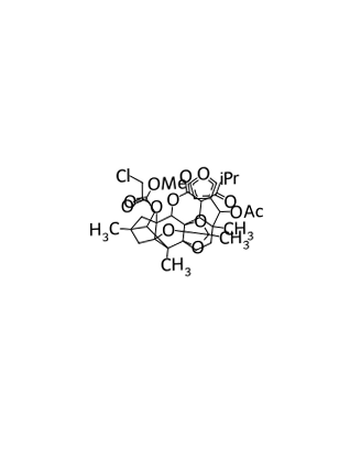 COC(=O)CC1C2(C)CC3(OC(=O)CCl)C4OC(=O)C(C(=O)C(C)C)C5C(C)(C(OC(C)=O)c6ccoc6)CCC67OC(C)(OC546)OC3(C2)C17C